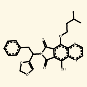 CC(C)CCOc1c2c(c(O)c3nccnc13)C(=O)N(C(Cc1ccccc1)C1=COCO1)C2=O